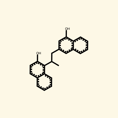 CC(Cc1cc(O)c2ccccc2c1)c1c(O)ccc2ccccc12